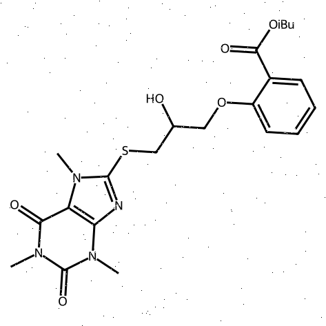 CC(C)COC(=O)c1ccccc1OCC(O)CSc1nc2c(c(=O)n(C)c(=O)n2C)n1C